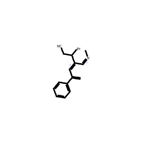 C=C(/C=C(\C=N/C)C(CC#N)C(C)C)c1ccccc1